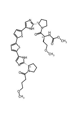 COCCCC(=O)N1CCC[C@H]1c1ncc(-c2ccc(-c3ccc(-c4cnc([C@@H]5CCCN5C(=O)[C@H](CCOC)NC(=O)OC)[nH]4)s3)s2)[nH]1